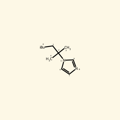 CCC(C)CC(C)(C)n1ccnc1